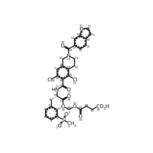 CS(=O)(=O)c1cccc(C[C@H](NC(=O)c2c(Cl)cc3c(c2Cl)CCN(C(=O)c2ccc4ccoc4c2)C3)C(=O)OCOC(=O)CCC(=O)O)c1